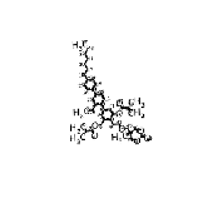 C=C(C)C(=O)OCc1cc(-c2ccc(-c3ccc(CCCCCCC)cc3)cc2CC)cc(OC(=O)C(=C)C)c1CCOCC1(C)COC(=O)OC1